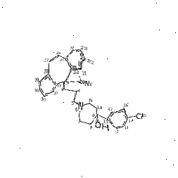 N#CC1(CCCN2CCC(O)(c3ccc(Cl)cc3)CC2)c2ccccc2C=Cc2ccccc21